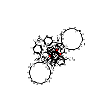 Cc1ccc(S(=O)(=O)C2(S(=O)(=O)c3ccc(C)cc3)CNCCCNCCNCCC[N+]2(Cc2c(F)c(F)c(C[N+]3(S(=O)(=O)c4ccc(C)cc4)CCCNCCNCCCNCC3(S(=O)(=O)c3ccc(C)cc3)S(=O)(=O)c3ccc(C)cc3)c(F)c2F)S(=O)(=O)c2ccc(C)cc2)cc1